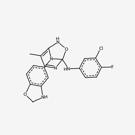 CC1=C2NOC(Nc3ccc(F)c(Cl)c3)(N=C1)N2c1ccc2c(c1)NCO2